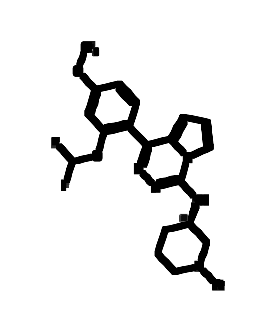 CCN1CCC[C@@H](Nc2nnc(-c3ccc(OC(F)(F)F)cc3OC(F)F)c3cccn23)C1